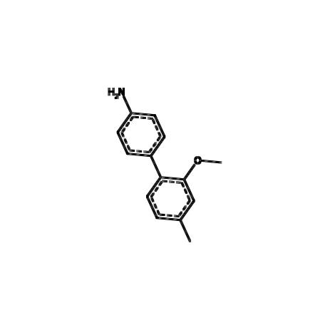 COc1cc(C)ccc1-c1ccc(N)cc1